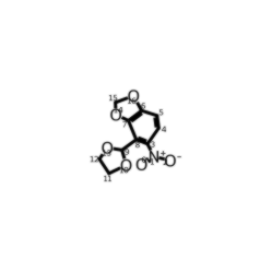 O=[N+]([O-])c1ccc2c(c1C1OCCO1)OCO2